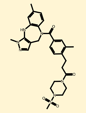 Cc1ccc2c(c1)Nc1c(cnn1C)CN2C(=O)c1ccc(CCC(=O)N2CCN(S(C)(=O)=O)CC2)c(C)c1